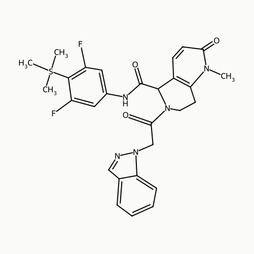 Cn1c2c(ccc1=O)C(C(=O)Nc1cc(F)c(S(C)(C)C)c(F)c1)N(C(=O)Cn1ncc3ccccc31)CC2